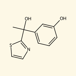 CC(O)(c1cccc(O)c1)c1nccs1